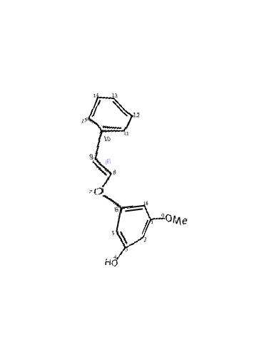 COc1cc(O)cc(O/C=C/c2ccccc2)c1